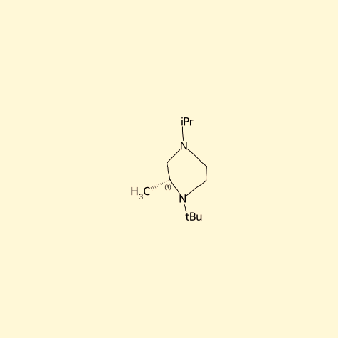 CC(C)N1CCN(C(C)(C)C)[C@H](C)C1